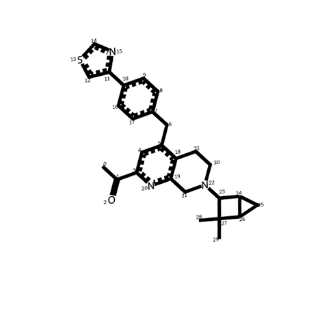 CC(=O)c1cc(Cc2ccc(-c3cscn3)cc2)c2c(n1)CN(C1C3CC3C1(C)C)CC2